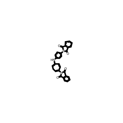 O=C1c2ccccc2C(=O)N1C1=CCC=C(Nc2ccc(N3C(=O)c4ccccc4C3=O)cc2)C=C1